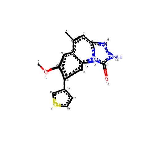 COc1cc2c(C)cc3n[nH]c(=O)n3c2cc1-c1ccsc1